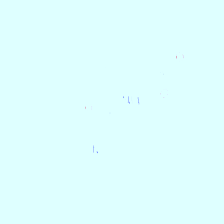 Cc1cccc(C(=O)OC(C)C)c1NC(=O)C[N+]1(Cc2ccccc2)CCCCC1